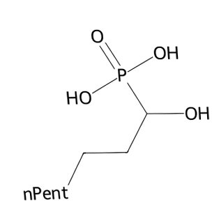 CCCCCCCC(O)P(=O)(O)O